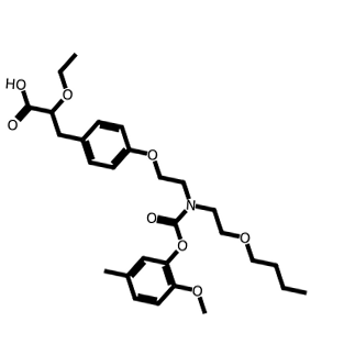 CCCCOCCN(CCOc1ccc(CC(OCC)C(=O)O)cc1)C(=O)Oc1cc(C)ccc1OC